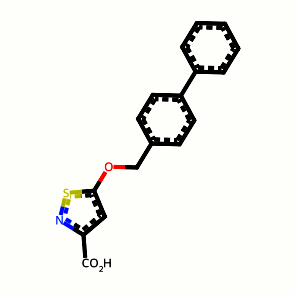 O=C(O)c1cc(OCc2ccc(-c3ccccc3)cc2)sn1